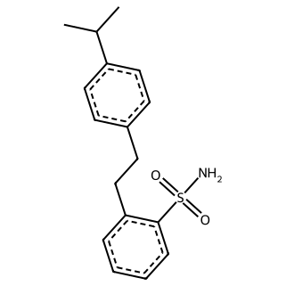 CC(C)c1ccc(CCc2ccccc2S(N)(=O)=O)cc1